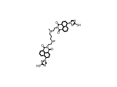 CN(CCCN(C)CCN1C(=O)c2cccc3c(-n4cnc(S)n4)ccc(c23)C1=O)CCN1C(=O)c2cccc3c(-n4cnc(S)n4)ccc(c23)C1=O